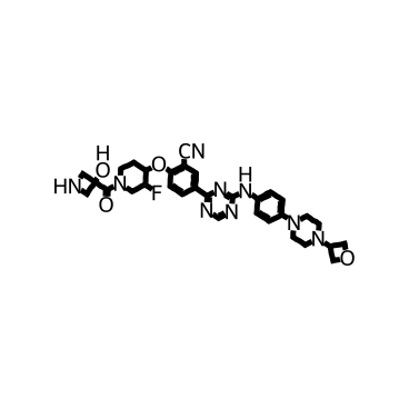 N#Cc1cc(-c2ncnc(Nc3ccc(N4CCN(C5COC5)CC4)cc3)n2)ccc1OC1CCN(C(=O)C2(O)CNC2)CC1F